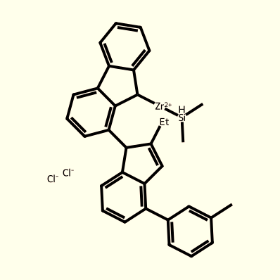 CCC1=Cc2c(-c3cccc(C)c3)cccc2C1c1cccc2c1[CH]([Zr+2][SiH](C)C)c1ccccc1-2.[Cl-].[Cl-]